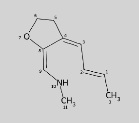 C/C=C/C=C1/CCO/C1=C/NC